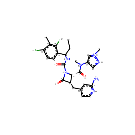 CCC(NC(=O)N1C(=O)[C@H](Cc2ccnc(N)c2)[C@H]1C(=O)N(C)c1cnn(C)c1)c1ccc(F)c(C)c1F